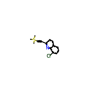 CS(C)(C)C#Cc1ccc2cccc(Cl)c2n1